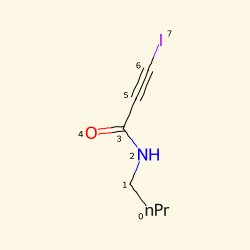 CCCCNC(=O)C#CI